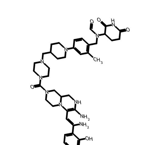 Cc1cc(N2CCC(CN3CCN(C(=O)N4CCN5C(/C=C(\N)c6ccccc6O)=C(N)NCC5C4)CC3)CC2)ccc1CN(C=O)C1CCC(=O)NC1=O